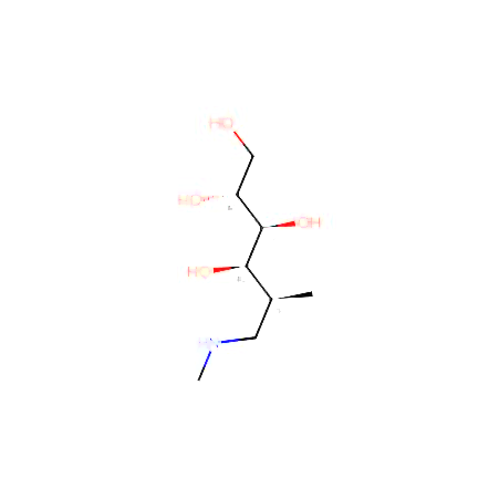 CNC[C@H](C)[C@@H](O)[C@H](O)[C@H](O)CO